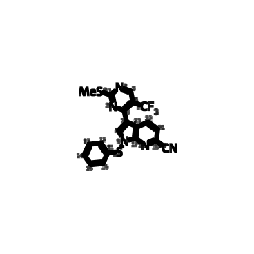 CSc1ncc(C(F)(F)F)c(-c2cn(Sc3ccccc3)c3nc(C#N)ccc23)n1